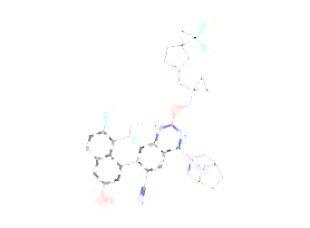 CCc1c(F)ccc2cc(O)cc(-c3c(C#N)cc4c(N5CC6CCC(C5)N6)nc(OCC5(CN6CCC7(C6)CC7(F)F)CC5)nc4c3F)c12